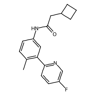 Cc1ccc(NC(=O)CC2CCC2)cc1-c1ccc(F)cn1